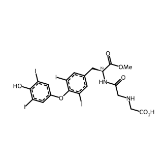 COC(=O)[C@H](Cc1cc(I)c(Oc2cc(I)c(O)c(I)c2)c(I)c1)NC(=O)CNCC(=O)O